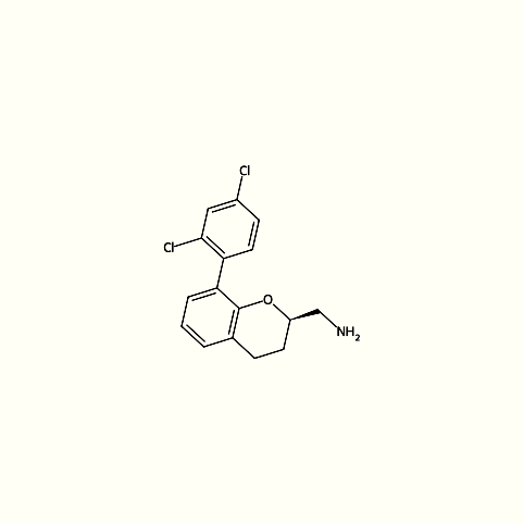 NC[C@H]1CCc2cccc(-c3ccc(Cl)cc3Cl)c2O1